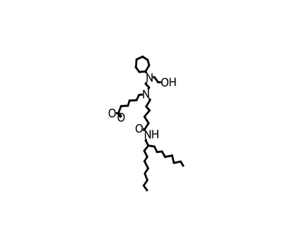 CCCCCCCCC(CCCCCCCC)CNC(=O)CCCCCN(CCCCCC(=O)OC)CCN(CCO)C1CCCCCC1